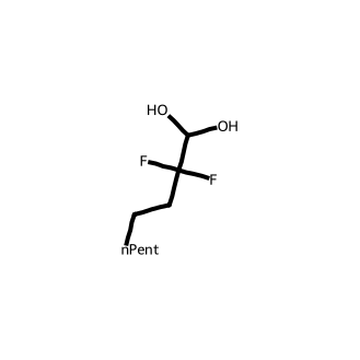 CCCCCCCC(F)(F)C(O)O